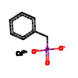 O=P([O-])([O-])Cc1ccccc1.[Cd+2]